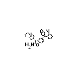 Nc1oc2ccc(C(=O)c3ccccc3[N+](=O)[O-])cc2c1C1=CCN2CCCC2C1